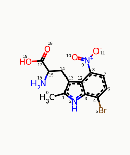 Cc1[nH]c2c(Br)ccc([N+](=O)[O-])c2c1CC(N)C(=O)O